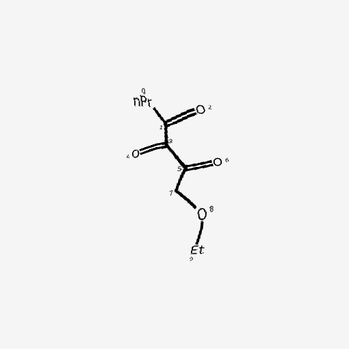 [CH2]CCC(=O)C(=O)C(=O)COCC